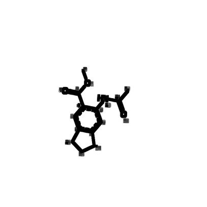 COC(=O)c1cc2c(cc1NC(C)=O)[CH]CC2